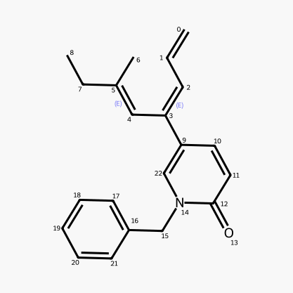 C=C/C=C(\C=C(/C)CC)c1ccc(=O)n(Cc2ccccc2)c1